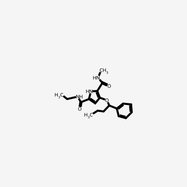 CCCC(Oc1cc(C(=O)NCC)[nH]c1C(=O)NC)c1ccccc1